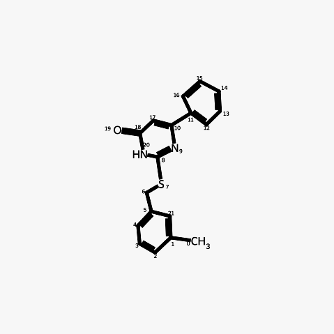 Cc1cccc(CSc2nc(-c3ccccc3)cc(=O)[nH]2)c1